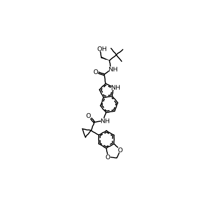 CC(C)(C)[C@H](CO)NC(=O)c1cc2cc(NC(=O)C3(c4ccc5c(c4)OCO5)CC3)ccc2[nH]1